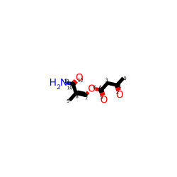 CC(=O)CC(=O)OC=C(C)C(N)=O